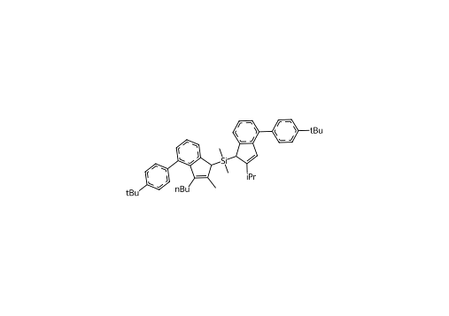 CCCCC1=C(C)C([Si](C)(C)C2C(C(C)C)=Cc3c(-c4ccc(C(C)(C)C)cc4)cccc32)c2cccc(-c3ccc(C(C)(C)C)cc3)c21